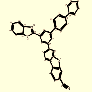 N#Cc1ccc2c(c1)sc1cc(-c3cc(-c4ccc(-c5ccccc5)cc4)cc(-c4nc5ccccc5s4)c3)ccc12